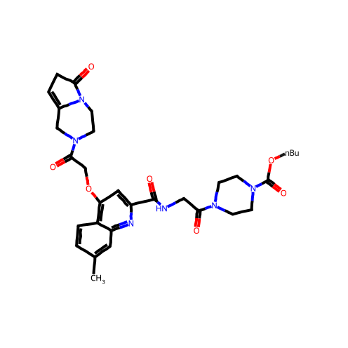 CCCCOC(=O)N1CCN(C(=O)CNC(=O)c2cc(OCC(=O)N3CCN4C(=O)CC=C4C3)c3ccc(C)cc3n2)CC1